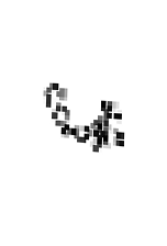 O=C(NO)[C@H]1COCCN1S(=O)(=O)c1ccc(Oc2ccc(-c3ncc[nH]3)cc2)cc1